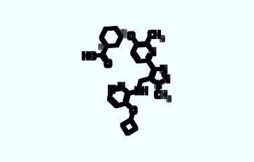 Cc1nc(-c2nnn(C)c2CNc2nnccc2OC2CCC2)ccc1O[C@H]1CCC[C@H](C(=O)O)C1